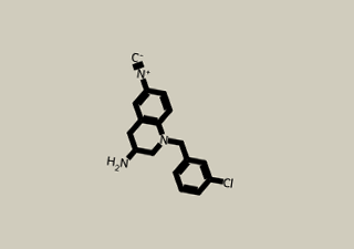 [C-]#[N+]c1ccc2c(c1)CC(N)CN2Cc1cccc(Cl)c1